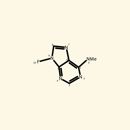 CNc1ncnc2c1ncn2F